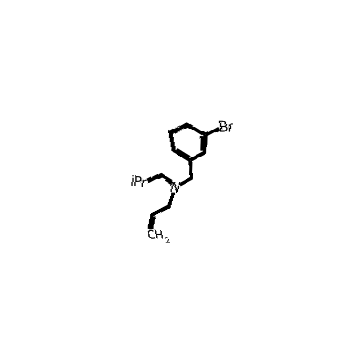 C=CCN(CC1=CCCC(Br)=C1)CC(C)C